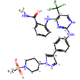 CNC(=O)c1ccccc1Nc1nc(Nc2ccc(-c3cnn(C4CCN(S(C)(=O)=O)CC4)c3)cc2)ncc1C(F)(F)F